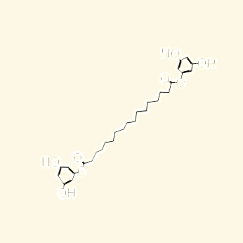 O=C(CCCCCCCCCCCCCCCC(=O)Oc1cc(O)cc(O)c1)Oc1cc(O)cc(O)c1